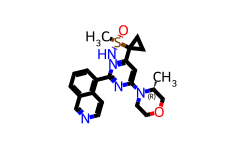 C[C@@H]1COCCN1c1cc(C2(S(C)(=N)=O)CC2)nc(-c2cccc3cnccc23)n1